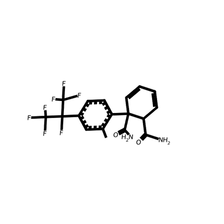 Cc1cc(C(F)(C(F)(F)F)C(F)(F)F)ccc1C1(C(N)=O)C=CC=CC1C(N)=O